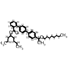 CCCCCCCCOC(C)c1ccc(-c2ccc(-c3ccccc3C(=O)OC(CCC)CCCC)cc2)cc1